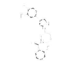 O=C(c1ccccc1F)N1CCCC(n2cc(-c3ccc(F)c(F)c3)cn2)C1